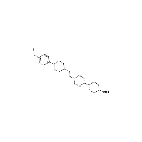 CCCC[C@H]1CC[C@H]([C@H]2CC[C@H](CCC3CCC(c4ccc(CF)cc4)CC3)CC2)CC1